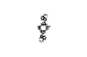 Nc1ncnc2c1ncn2[C@H]1C[C@@H]2OP(=O)(O)OC[C@H]3O[C@@H](n4cc(F)c5c(N)ncnc54)C[C@@H]3OS(=O)(=O)NC[C@H]2O1